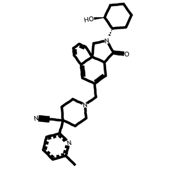 Cc1cccc(C2(C#N)CCN(CC3=CC4C(=O)N([C@H]5CCCC[C@@H]5O)CC45C=CC=CC5=C3)CC2)n1